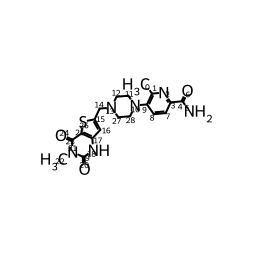 Cc1nc(C(N)=O)ccc1N1CCN(Cc2cc3[nH]c(=O)n(C)c(=O)c3s2)CC1